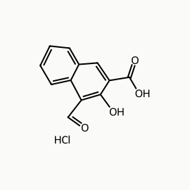 Cl.O=Cc1c(O)c(C(=O)O)cc2ccccc12